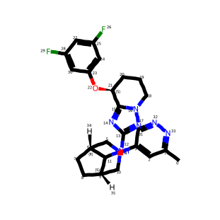 Cc1cc(N2C[C@H]3CC[C@@H](C2)C3Nc2nc3n(n2)CCC[C@@H]3Oc2cc(F)cc(F)c2)cnn1